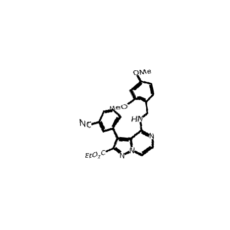 CCOC(=O)c1nn2ccnc(NCc3ccc(OC)cc3OC)c2c1-c1cccc(C#N)c1